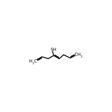 C=CCC=C(S)CC=C